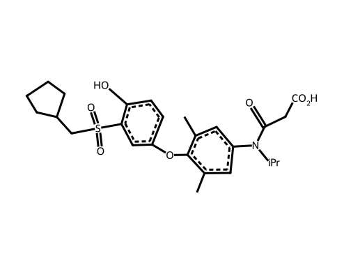 Cc1cc(N(C(=O)CC(=O)O)C(C)C)cc(C)c1Oc1ccc(O)c(S(=O)(=O)CC2CCCC2)c1